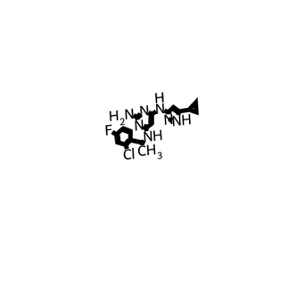 CC(Nc1cc(Nc2cc(C3CC3)[nH]n2)nc(N)n1)c1ccc(F)cc1Cl